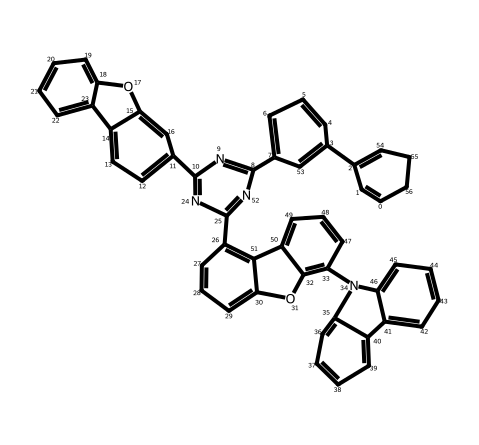 C1=CC(c2cccc(-c3nc(-c4ccc5c(c4)oc4ccccc45)nc(-c4cccc5oc6c(-n7c8ccccc8c8ccccc87)cccc6c45)n3)c2)=CCC1